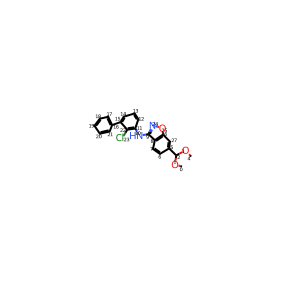 COC(OC)c1ccc2c(Nc3cccc(-c4ccccc4)c3Cl)noc2c1